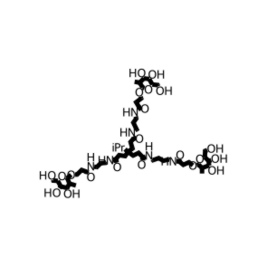 CC1C(OCCC(=O)NCCCCNC(=O)CCC(CCC(=O)NCCCNC(=O)CCOC2OC(CO)C(O)C(O)C2C)(CCC(=O)NCCCNC(=O)CCOC2OC(CO)C(O)C(O)C2C)C(C)C)OC(CO)C(O)C1O